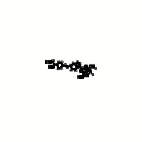 C[C@@](CCn1ncc2cc(C#Cc3ccc([C@@H](O)CO)cc3)ccc21)(C(=O)NO)S(C)(=O)=O